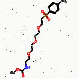 CC(C)(C)OC(=O)NCCOCCOCCOCCS(=O)(=O)c1ccc([N+](=O)[O-])cc1